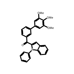 COc1cc(-c2cccc(C(=O)c3cc4ccccc4n3-c3ccccc3)c2)cc(OC)c1OC